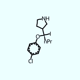 CCC[C@@](I)(Oc1ccc(Cl)cc1)C1CCNC1